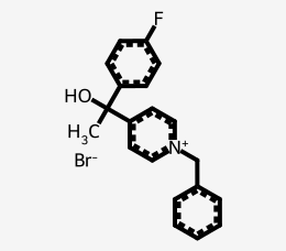 CC(O)(c1ccc(F)cc1)c1cc[n+](Cc2ccccc2)cc1.[Br-]